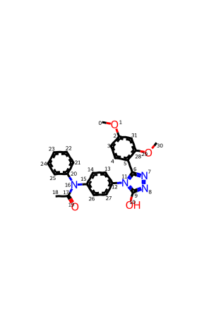 COc1ccc(-c2nnc(O)n2-c2ccc(N(C(C)=O)c3ccccc3)cc2)c(OC)c1